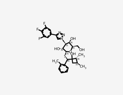 Cc1ccccc1[C@@H](S[C@@H]1O[C@H](CO)[C@H](O)[C@H](n2cc(-c3cc(F)c(F)c(F)c3)nn2)[C@H]1O)C1(O)C[C@H](C)[C@H]1C